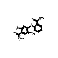 COC(=O)c1ccccc1Oc1cc(C(F)(F)F)c(C(=O)OC)cc1[N+](=O)[O-]